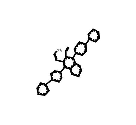 C=Cc1c(/C=C\N)c(-c2ccc(-c3ccccc3)cc2)c2ccccc2c1-c1ccc(-c2ccccc2)cc1